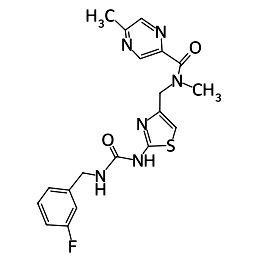 Cc1cnc(C(=O)N(C)Cc2csc(NC(=O)NCc3cccc(F)c3)n2)cn1